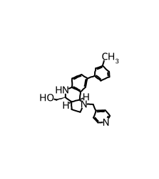 Cc1cccc(-c2ccc3c(c2)[C@H]2[C@H](CCN2Cc2ccncc2)[C@@H](CO)N3)c1